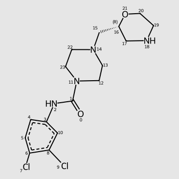 O=C(Nc1ccc(Cl)c(Cl)c1)N1CCN(C[C@H]2CNCCO2)CC1